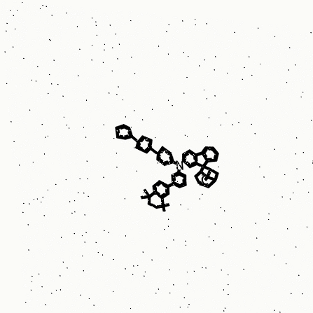 CC1(C)CCC(C)(C)c2cc(-c3cccc(N(c4ccc(-c5ccc(-c6ccccc6)cc5)cc4)c4ccc5c(c4)C4(c6ccccc6-5)C5CC6CC7CC4C75C6)c3)ccc21